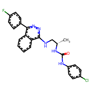 C[C@@H](CNc1nnc(-c2ccc(F)cc2)c2ccccc12)NC(=O)Nc1ccc(Cl)cc1